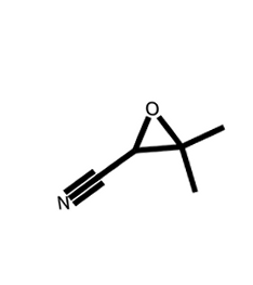 CC1(C)OC1C#N